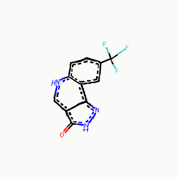 O=c1[nH]nc2c3cc(C(F)(F)F)ccc3[nH]cc1-2